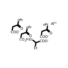 CCC(CC)C(=O)[O-].CCCC(=O)CC(=O)O.CCCC(=O)CC(=O)[O-].CCCC(=O)CC(=O)[O-].[Al+3]